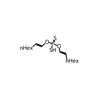 CCCCCCC=COP(=S)(S)OC=CCCCCCC